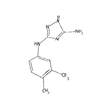 Cc1ccc(Nc2n[nH]c(N)n2)cc1C(F)(F)F